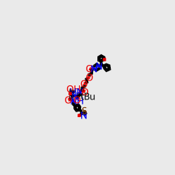 Cc1ncsc1-c1ccc(CNC(=O)[C@@H]2C[C@@H](O)CN2C(=O)[C@@H](NC(=O)CCOCCOCCC(=O)N2CCN(C(c3ccccc3)c3ccccc3)CC2)C(C)(C)C)cc1